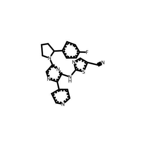 N#Cc1cnc(Nc2nc(N3CCCC3c3ccc(F)cc3)cnc2-c2ccncc2)s1